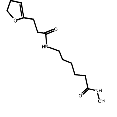 O=C(CCCCCNC(=O)CCC1=CCCO1)NO